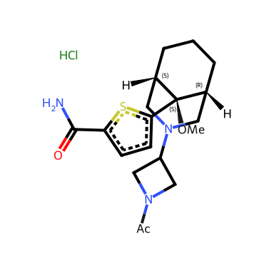 CO[C@]1(c2ccc(C(N)=O)s2)[C@@H]2CCC[C@H]1CN(C1CN(C(C)=O)C1)C2.Cl